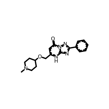 CN1CCC(OCc2cc(=O)n3nc(-c4ccccc4)nc3[nH]2)CC1